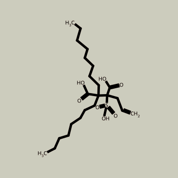 C=CCC(C(=O)O)(C(CCCCCCCC)(CCCCCCCC)C(=O)O)S(=O)(=O)O